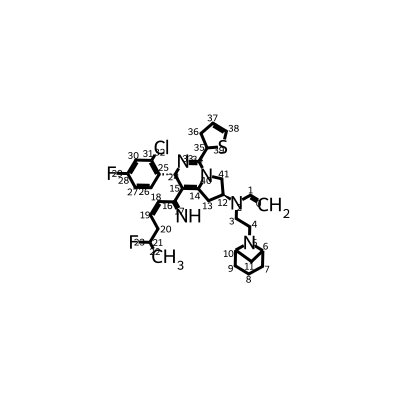 C=CN(CCN1C2CCCC1C2)[C@H]1CC2=C(C(=N)/C=C\CC(C)F)[C@H](c3ccc(F)cc3Cl)N=C(C3CC=CS3)N2C1